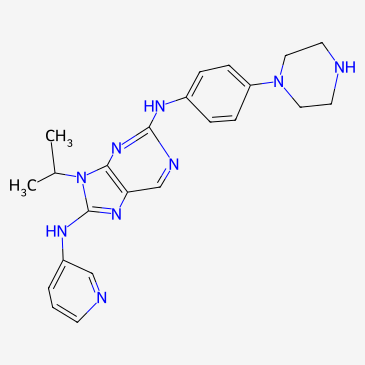 CC(C)n1c(Nc2cccnc2)nc2cnc(Nc3ccc(N4CCNCC4)cc3)nc21